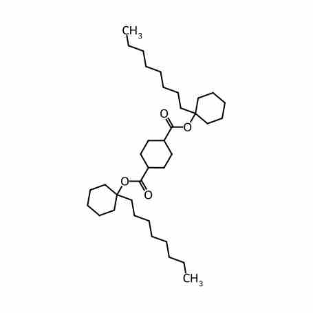 CCCCCCCCC1(OC(=O)C2CCC(C(=O)OC3(CCCCCCCC)CCCCC3)CC2)CCCCC1